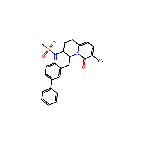 CS(=O)(=O)NC1CCc2ccc(C#N)c(=O)n2C1Cc1cccc(-c2ccccc2)c1